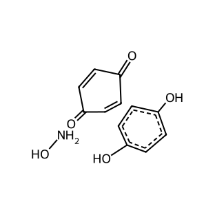 NO.O=C1C=CC(=O)C=C1.Oc1ccc(O)cc1